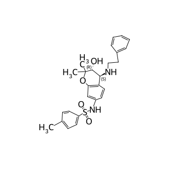 Cc1ccc(S(=O)(=O)Nc2ccc3c(c2)OC(C)(C)[C@H](O)[C@H]3NCCc2ccccc2)cc1